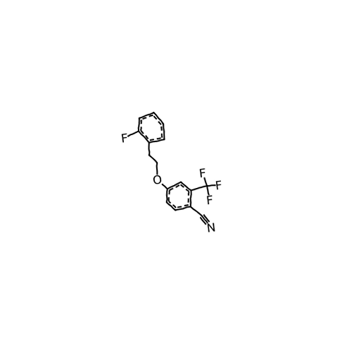 N#Cc1ccc(OCCc2ccccc2F)cc1C(F)(F)F